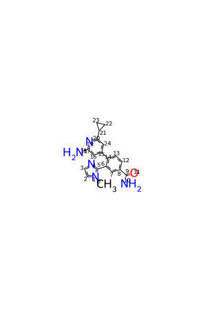 Cn1ccnc1-c1cc(C(N)=O)ccc1-c1cc(N)nc(C2CC2)c1